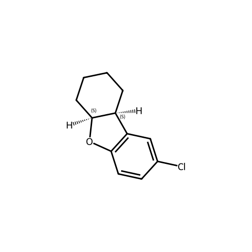 Clc1ccc2c(c1)[C@@H]1CCCC[C@@H]1O2